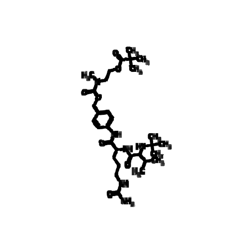 CC(C)C(NC(C)(C)C)C(=O)NC(CCCNC(N)=O)C(=O)Nc1ccc(COC(=O)N(C)CCOC(=O)C(C)(C)C)cc1